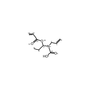 C=CCN(C(=O)O)C(CC)OC(=O)C=C